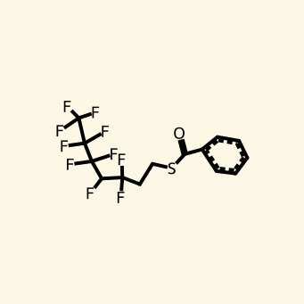 O=C(SCCC(F)(F)C(F)C(F)(F)C(F)(F)C(F)(F)F)c1ccccc1